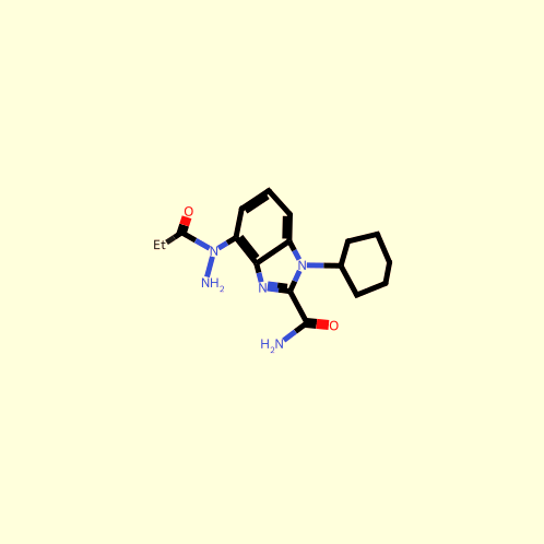 CCC(=O)N(N)c1cccc2c1nc(C(N)=O)n2C1CCCCC1